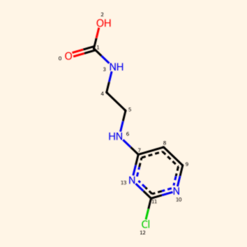 O=C(O)NCCNc1ccnc(Cl)n1